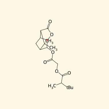 CC(C(=O)OCC(=O)OC1C2OC(=O)C3C2CC1C3(C)C)C(C)(C)C